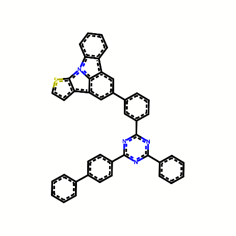 c1ccc(-c2ccc(-c3nc(-c4ccccc4)nc(-c4cccc(-c5cc6c7ccccc7n7c8sccc8c(c5)c67)c4)n3)cc2)cc1